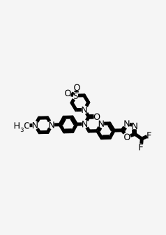 CN1CCN(c2ccc(N(Cc3ccc(-c4nnc(C(F)F)o4)cn3)C(=O)N3CCS(=O)(=O)CC3)cc2)CC1